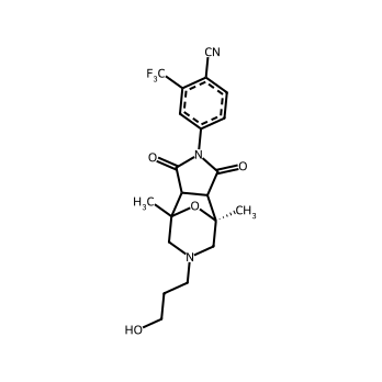 CC12CN(CCCO)C[C@@](C)(O1)C1C(=O)N(c3ccc(C#N)c(C(F)(F)F)c3)C(=O)C12